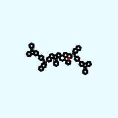 c1ccc(C2CCc3c(ccc4c5ccc6cc(N(c7ccc(-c8ccc9c(c8)c8ccccc8n9-c8ccccc8)cc7)c7ccc8ccccc8c7)ccc6c5n(-c5ccccc5)c34)-c3ccc4cc(N(c5ccc(-c6ccc7c(c6)c6ccccc6n7-c6ccccc6)cc5)c5ccc6ccccc6c5)ccc4c32)cc1